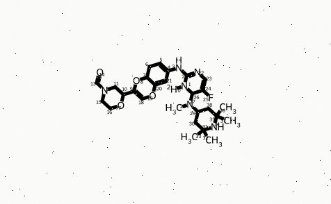 [2H]N1C(NC2=CCC3OC(C4CN(C=O)CCO4)=COC3=C2)=NC=C(F)C1N(C)C1CC(C)(C)NC(C)(C)C1